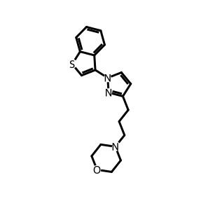 c1ccc2c(-n3ccc(CCCN4CCOCC4)n3)csc2c1